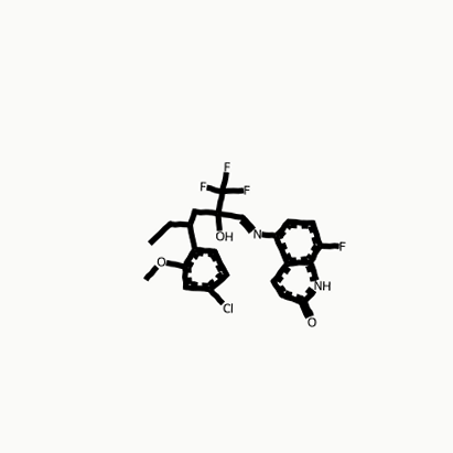 CCC(CC(O)(/C=N/c1ccc(F)c2[nH]c(=O)ccc12)C(F)(F)F)c1ccc(Cl)cc1OC